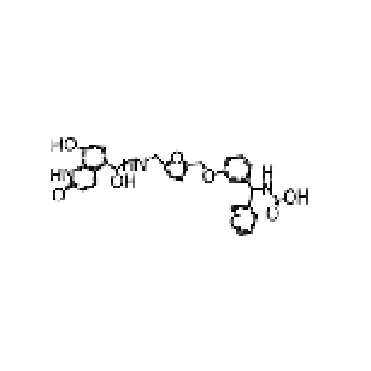 O=C(O)NC(c1ccccc1)c1cccc(OCc2ccc(CNCC(O)c3ccc(O)c4[nH]c(=O)ccc34)o2)c1